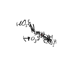 Cc1cc(N=Nc2c(C)c(C(=O)O)c3nc4ccccc4n3c2O)c(OCCS(=O)(=O)O)cc1N=Nc1ccc(N=Nc2ccc(S(=O)(=O)O)cc2)cc1S(=O)(=O)O